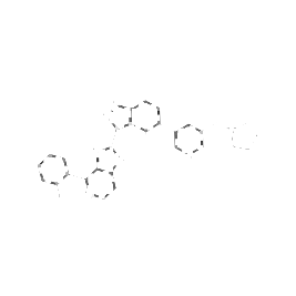 Fc1ccccc1-c1nccc2[nH]c(-c3n[nH]c4ccc(-c5cncc(CN6CCCC6)c5)c(F)c34)nc12